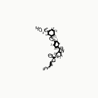 Cc1noc(-c2ccc(O[C@@H]3CCC[C@@H](C(=O)O)C3)cc2)c1CNC(=O)OCCC(C)C